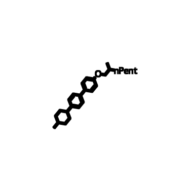 CCCCCC(C)COc1ccc(-c2ccc(C3CCC(C)CC3)cc2)cc1